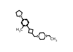 CCN1CCN(CC2CC(c3ccc(N4CCCC4)cc3C)C2)CC1